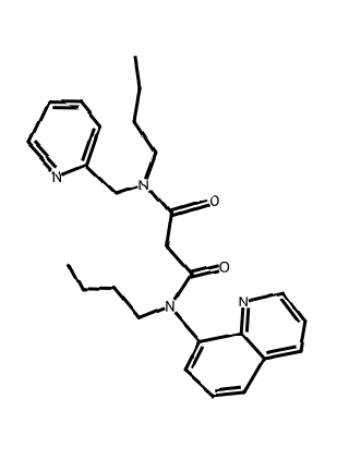 CCCCN(Cc1ccccn1)C(=O)CC(=O)N(CCCC)c1cccc2cccnc12